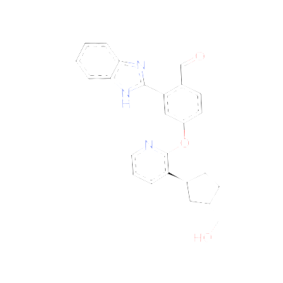 O=Cc1ccc(Oc2ncccc2[C@H]2CC[C@H](CO)C2)cc1-c1nc2ccccc2[nH]1